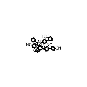 N#Cc1ccc(-c2ccc3c4ccc(-c5ccc(C#N)cc5C#N)cc4n(-c4cc(-c5ccccc5C(F)(F)F)ccc4-c4nc(-c5ccccc5)nc(-c5ccccc5)n4)c3c2)c(C#N)c1